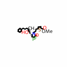 COC(=O)c1ccc(CCCN2C(=O)C(F)(F)C[C@@H]2CC[C@@H](O)[C@@H](C)CCCc2ccccc2)s1